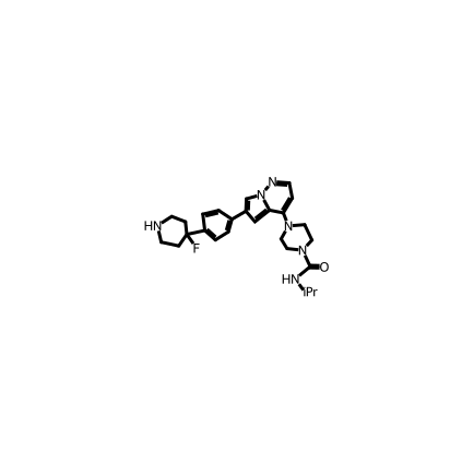 CC(C)NC(=O)N1CCN(c2ccnn3cc(-c4ccc(C5(F)CCNCC5)cc4)cc23)CC1